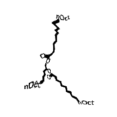 CCCCCCCC/C=C/CCCCCCCC(=O)OCC(CCCCCCCCCCCCCC)OC(=O)CCCCCCC/C=C/CCCCCCCC